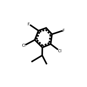 CC(C)c1c(Cl)c(F)cc(F)c1Cl